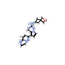 c1cn2nc(-c3ccn4nc(NC5CC6(COC6)C5)ncc34)ccc2n1